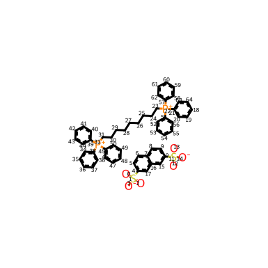 O=S(=O)([O-])c1ccc2ccc(S(=O)(=O)[O-])cc2c1.c1ccc([P+](CCCCCCCCC[P+](c2ccccc2)(c2ccccc2)c2ccccc2)(c2ccccc2)c2ccccc2)cc1